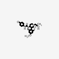 COc1cc(F)c(C2CN(CC(C)(C)O)CCC2NC(=O)Nc2ccc(Cl)cc2)c(F)c1